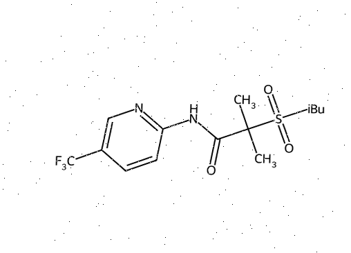 CCC(C)S(=O)(=O)C(C)(C)C(=O)Nc1ccc(C(F)(F)F)cn1